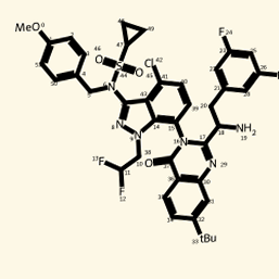 COc1ccc(CN(c2nn(CC(F)F)c3c(-n4c(C(N)Cc5cc(F)cc(F)c5)nc5cc(C(C)(C)C)ccc5c4=O)ccc(Cl)c23)S(=O)(=O)C2CC2)cc1